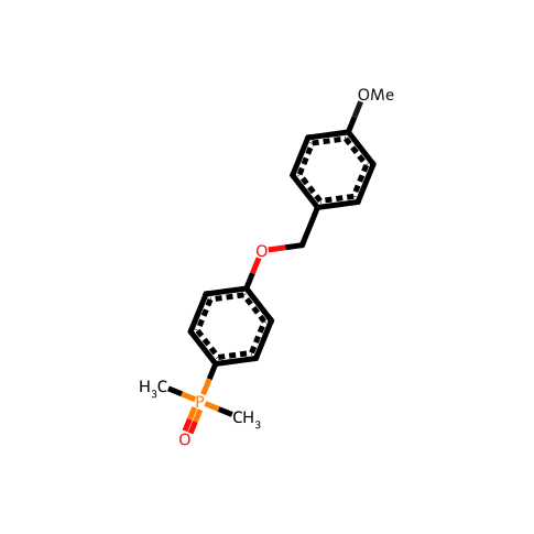 COc1ccc(COc2ccc(P(C)(C)=O)cc2)cc1